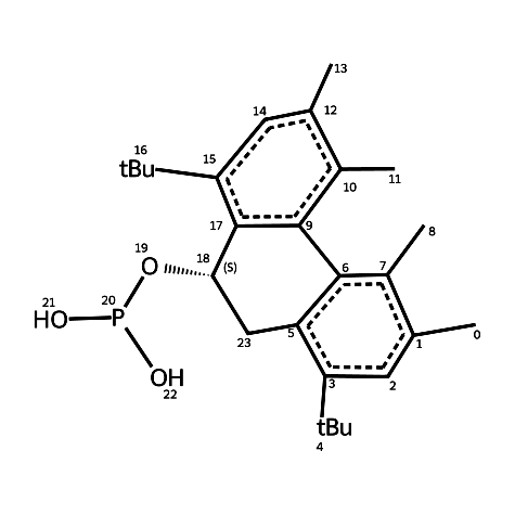 Cc1cc(C(C)(C)C)c2c(c1C)-c1c(C)c(C)cc(C(C)(C)C)c1[C@@H](OP(O)O)C2